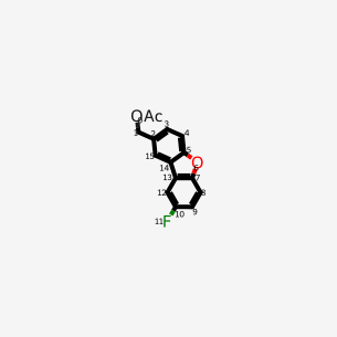 CC(=O)OCc1ccc2oc3ccc(F)cc3c2c1